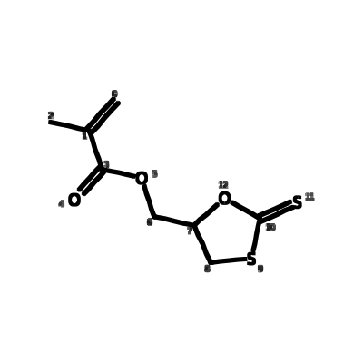 C=C(C)C(=O)OCC1CSC(=S)O1